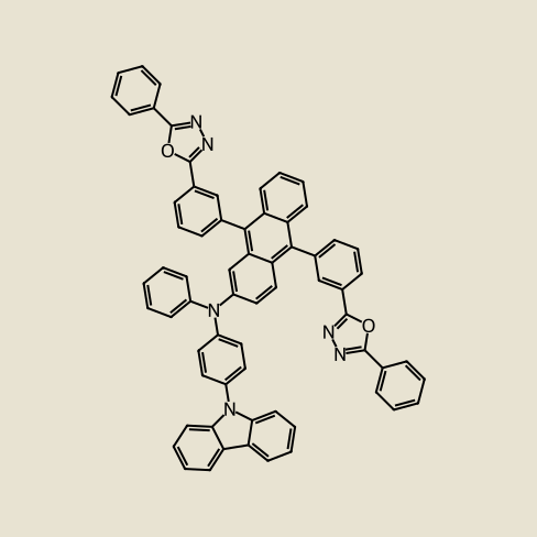 c1ccc(-c2nnc(-c3cccc(-c4c5ccccc5c(-c5cccc(-c6nnc(-c7ccccc7)o6)c5)c5cc(N(c6ccccc6)c6ccc(-n7c8ccccc8c8ccccc87)cc6)ccc45)c3)o2)cc1